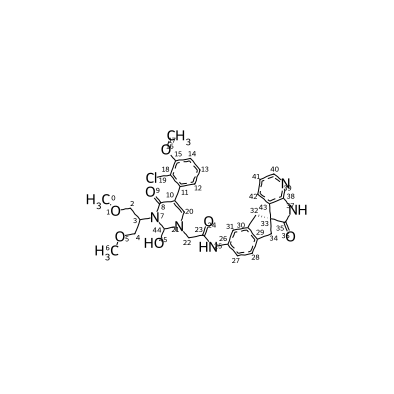 COCC(COC)N1C(=O)C(c2cccc(OC)c2Cl)=CN(CC(=O)Nc2ccc3c(c2)C[C@@]2(C3)C(=O)Nc3ncccc32)C1O